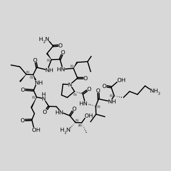 CC[C@H](C)[C@H](NC(=O)[C@H](CCC(=O)O)NC(=O)CNC(=O)[C@@H](N)[C@@H](C)O)C(=O)N[C@@H](CC(N)=O)C(=O)N[C@@H](CC(C)C)C(=O)N1CCC[C@H]1C(=O)N[C@H](C(=O)N[C@@H](CCCCN)C(=O)O)C(C)C